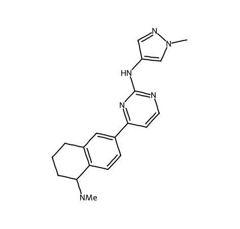 CNC1CCCc2cc(-c3ccnc(Nc4cnn(C)c4)n3)ccc21